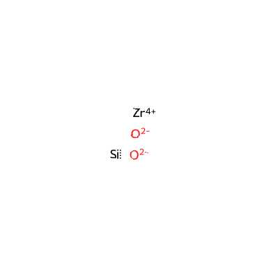 [O-2].[O-2].[Si].[Zr+4]